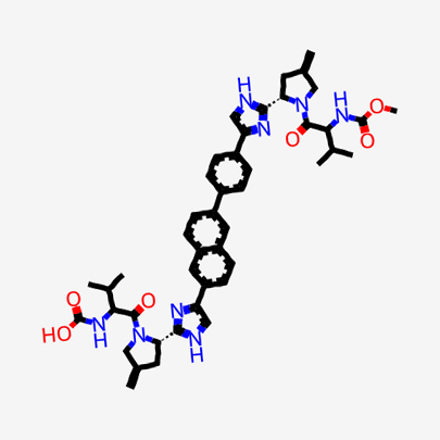 C=C1C[C@@H](c2nc(-c3ccc4cc(-c5ccc(-c6c[nH]c([C@@H]7CC(=C)CN7C(=O)C(NC(=O)OC)C(C)C)n6)cc5)ccc4c3)c[nH]2)N(C(=O)C(NC(=O)O)C(C)C)C1